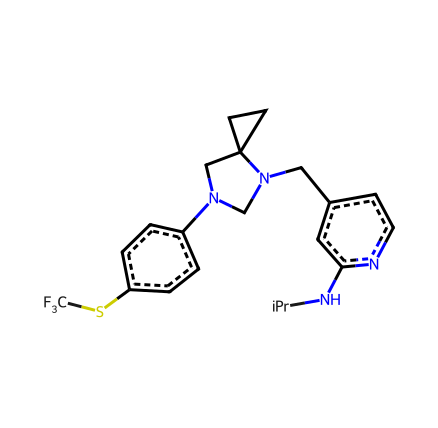 CC(C)Nc1cc(CN2CN(c3ccc(SC(F)(F)F)cc3)CC23CC3)ccn1